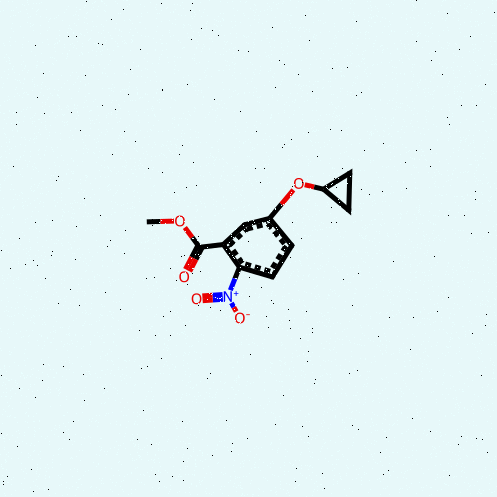 COC(=O)c1cc(OC2CC2)ccc1[N+](=O)[O-]